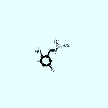 CC(C)(C)[S@@+]([O-])/N=C/c1cc(F)ccc1O